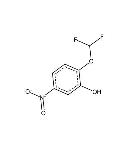 O=[N+]([O-])c1ccc(OC(F)F)c(O)c1